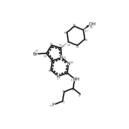 CC(CCF)Nc1ncc2c(Br)cc([C@H]3CC[C@H](O)CC3)n2n1